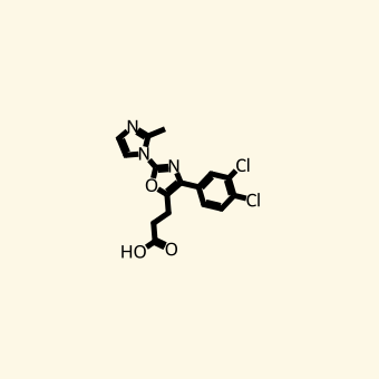 Cc1nccn1-c1nc(-c2ccc(Cl)c(Cl)c2)c(CCC(=O)O)o1